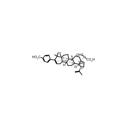 C=C(C)[C@@H]1CC[C@]2(N(C=O)C(=O)O)CC[C@]3(C)[C@H](CC[C@@H]4[C@@]5(C)CC=C(c6ccc(C(=O)O)cc6)C(C)(C)[C@@H]5CC[C@]43C)[C@@H]12